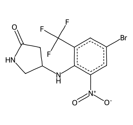 O=C1CC(Nc2c([N+](=O)[O-])cc(Br)cc2C(F)(F)F)CN1